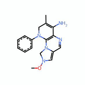 CON1C=C2C=NC3=C(N2C1)N(c1ccccc1)CC(C)=C3N